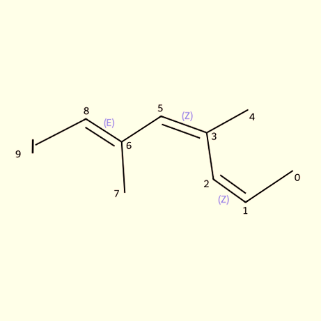 C\C=C/C(C)=C\C(C)=C\I